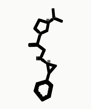 CN(C)[C@@H]1CCN(C(=O)CN[C@H]2CC2c2ccccc2)C1